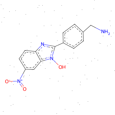 NCc1ccc(-c2nc3ccc([N+](=O)[O-])cc3n2O)cc1